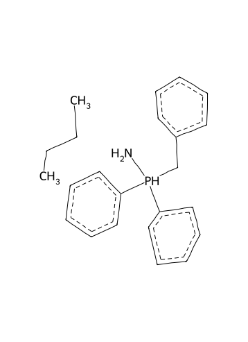 CCCC.N[PH](Cc1ccccc1)(c1ccccc1)c1ccccc1